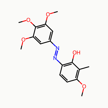 COc1ccc(N=Nc2cc(OC)c(OC)c(OC)c2)c(O)c1C